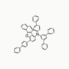 c1ccc(-c2ccc(-c3ccc(N(c4ccc(-c5ccccc5)cc4)c4cc(-c5ccccc5)cc(-c5ccccc5)c4)c4c3oc3c5ccccc5ccc34)cc2)cc1